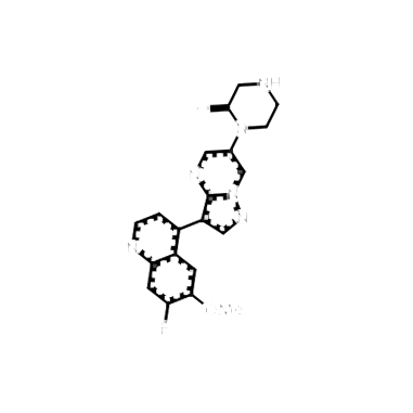 COc1cc2c(-c3cnn4cc(N5CCNCC5=O)cnc34)ccnc2cc1F